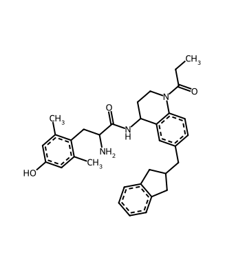 CCC(=O)N1CCC(NC(=O)C(N)Cc2c(C)cc(O)cc2C)c2cc(CC3Cc4ccccc4C3)ccc21